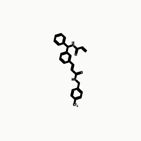 C=CC(=O)NC(c1ccccc1)c1cccc(/C=C/C(=O)NCc2ccc(C(F)(F)F)cc2)c1